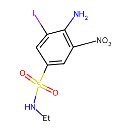 CCNS(=O)(=O)c1cc(I)c(N)c([N+](=O)[O-])c1